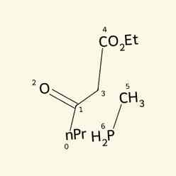 CCCC(=O)CC(=O)OCC.CP